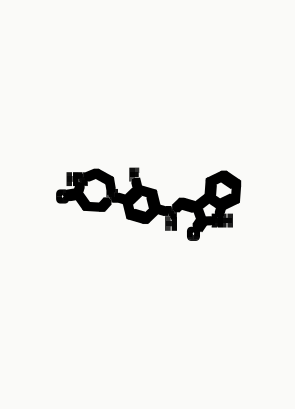 O=C1CCN(c2ccc(NC=C3C(=O)Nc4ccccc43)cc2F)CCN1